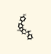 [C-]#[N+]c1ccc(-c2ccc3[nH]c4c(c3c2)CN(C(=O)c2ccccc2)CC4)cc1